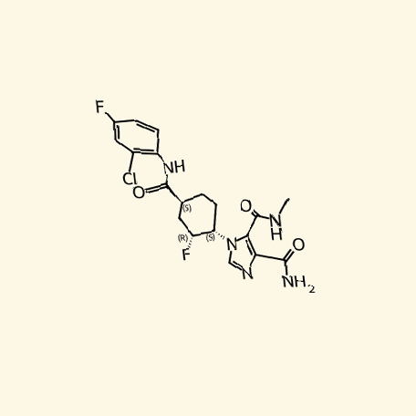 CNC(=O)c1c(C(N)=O)ncn1[C@H]1CC[C@H](C(=O)Nc2ccc(F)cc2Cl)C[C@H]1F